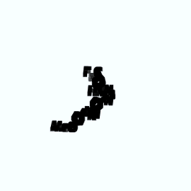 COc1ccc(Cn2nnc3cc(-c4nccnc4Nc4ccc(C(F)(F)F)cc4)ccc32)cc1